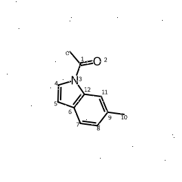 CC(=O)n1ccc2ccc(C)cc21